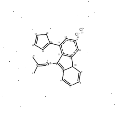 C[C](C)=[Zr+2][C]1=C2C=CC=CC2c2cccc(C3=CC=CC3)c21.[Cl-].[Cl-]